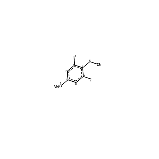 COc1cc(C)c(CCl)c(C)c1